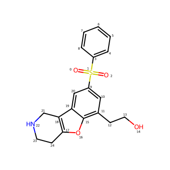 O=S(=O)(c1ccccc1)c1cc(CCO)c2oc3c(c2c1)CNCC3